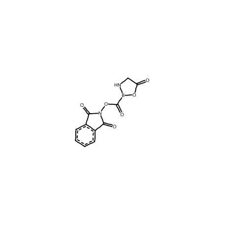 O=C1CNB(C(=O)ON2C(=O)c3ccccc3C2=O)O1